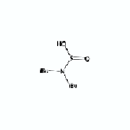 CCC(C)N(C(C)CC)S(=O)O